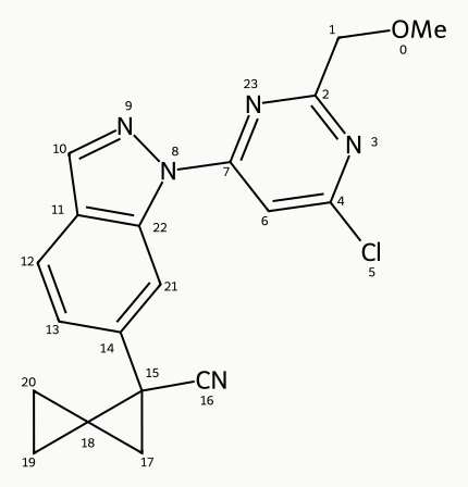 COCc1nc(Cl)cc(-n2ncc3ccc(C4(C#N)CC45CC5)cc32)n1